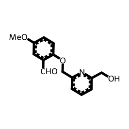 COc1ccc(OCc2cccc(CO)n2)c(C=O)c1